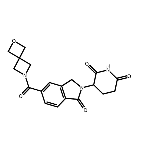 O=C1CCC(N2Cc3cc(C(=O)N4CC5(COC5)C4)ccc3C2=O)C(=O)N1